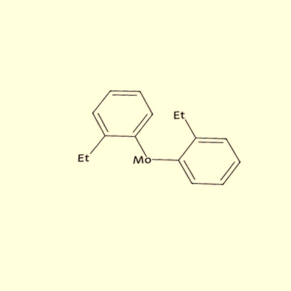 CCc1cccc[c]1[Mo][c]1ccccc1CC